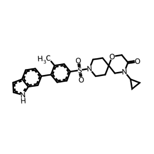 Cc1cc(S(=O)(=O)N2CCC3(CC2)CN(C2CC2)C(=O)CO3)ccc1-c1ccc2cc[nH]c2c1